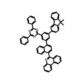 CC1(C)c2ccccc2-c2cc(-c3cc(-c4nc(-c5ccccc5)nc(-c5ccccc5)n4)cc(-c4ccc(-c5nc6ccccc6c6ccccc56)c5ccccc45)c3)ccc21